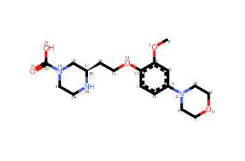 COc1cc(N2CCOCC2)ccc1OCC[C@@H]1CN(C(=O)O)CCN1